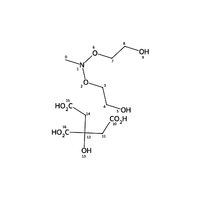 CN(OCCO)OCCO.O=C(O)CC(O)(CC(=O)O)C(=O)O